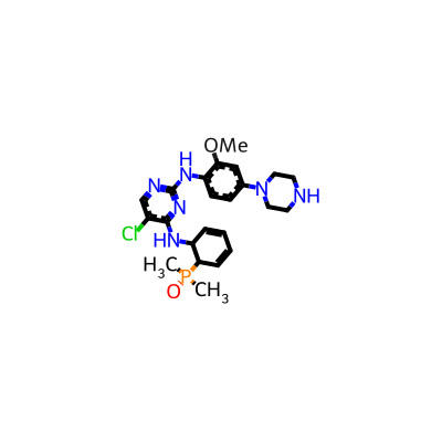 COc1cc(N2CCNCC2)ccc1Nc1ncc(Cl)c(NC2C=CC=CC2P(C)(C)=O)n1